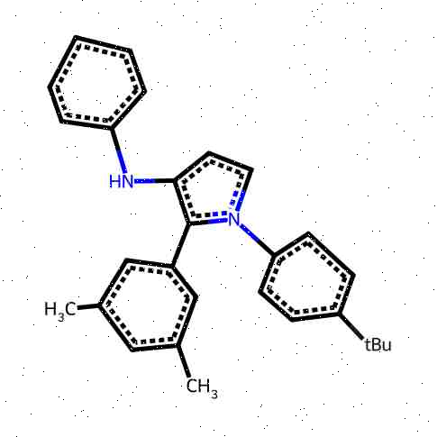 Cc1cc(C)cc(-c2c(Nc3ccccc3)ccn2-c2ccc(C(C)(C)C)cc2)c1